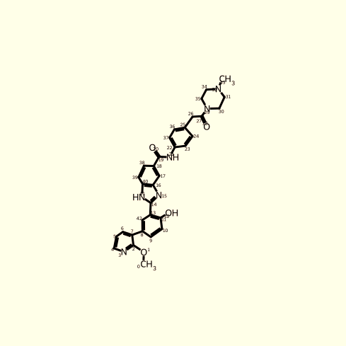 COc1ncccc1-c1ccc(O)c(-c2nc3cc(C(=O)Nc4ccc(CC(=O)N5CCN(C)CC5)cc4)ccc3[nH]2)c1